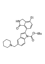 CCc1ccc(-c2cc3cc(CN4CCCCC4)ccc3n2C(=O)OC(C)(C)C)c2c1CNC2=O